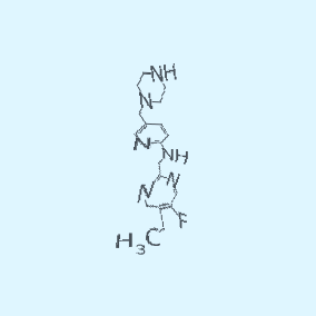 CCC1=C(F)C=NC(CNc2ccc(CN3CCNCC3)cn2)=NC1